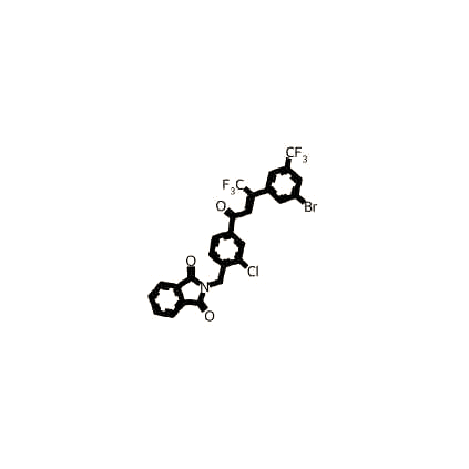 O=C(/C=C(/c1cc(Br)cc(C(F)(F)F)c1)C(F)(F)F)c1ccc(CN2C(=O)c3ccccc3C2=O)c(Cl)c1